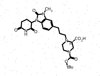 Cn1c(=O)n(C2CCC(=O)NC2=O)c2ccc(CCCN3CCN(C(=O)OC(C)(C)C)C[C@@H]3C(=O)O)cc21